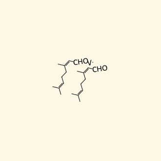 CC(C)=CCC/C(C)=C\C=O.CC(C)=CCC/C(C)=C\C=O.[V]